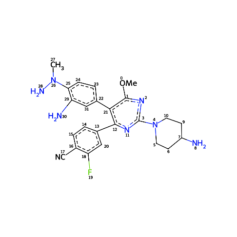 COc1nc(N2CCC(N)CC2)nc(-c2ccc(C#N)c(F)c2)c1-c1ccc(N(C)N)c(N)c1